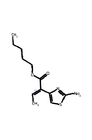 C/C=C(/C(=O)OCCCCC)c1csc(N)n1